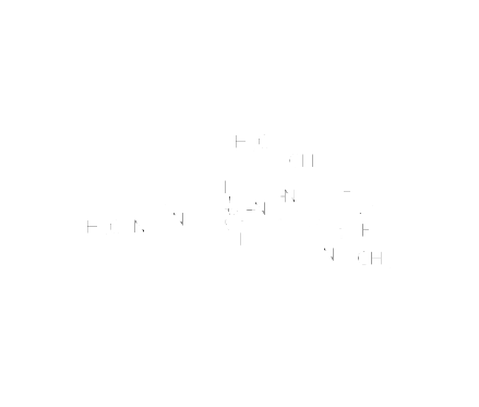 Cc1ncc(-c2cn([C@H]3[C@@H]4CC(N5CCN(C)CC5)C[C@@H]43)c(CC(C)C)n2)cc1C(F)(F)F